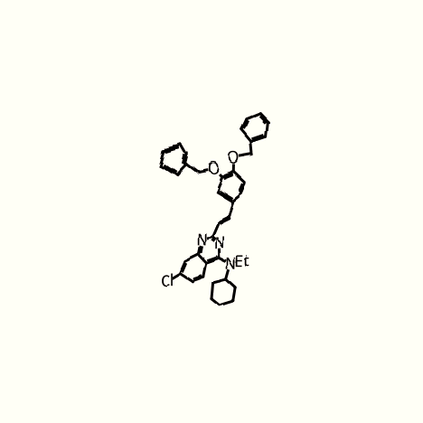 CCN(c1nc(C=Cc2ccc(OCc3ccccc3)c(OCc3ccccc3)c2)nc2cc(Cl)ccc12)C1CCCCC1